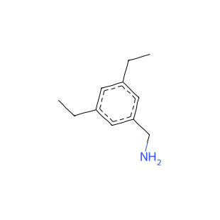 CCc1cc(CC)cc(CN)c1